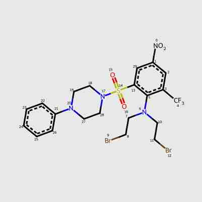 O=[N+]([O-])c1cc(C(F)(F)F)c(N(CCBr)CCBr)c(S(=O)(=O)N2CCN(c3ccccc3)CC2)c1